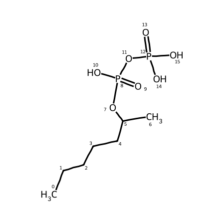 CCCCCC(C)OP(=O)(O)OP(=O)(O)O